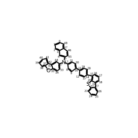 c1ccc2cc(N(c3ccc(-c4ccc(-c5cccc6c5sc5ccccc56)cc4)cc3)c3ccc4oc5ccccc5c4c3)ccc2c1